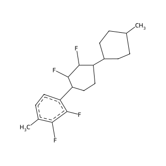 Cc1ccc(C2CCC(C3CCC(C)CC3)C(F)C2F)c(F)c1F